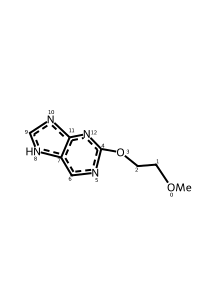 COCCOc1ncc2[nH]cnc2n1